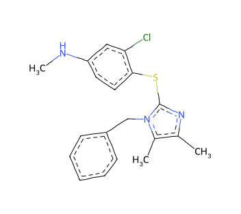 CNc1ccc(Sc2nc(C)c(C)n2Cc2ccccc2)c(Cl)c1